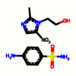 Cc1ncc([N+](=O)[O-])n1CCO.Nc1ccc(S(N)(=O)=O)cc1